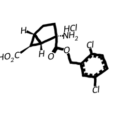 Cl.N[C@@]1(C(=O)OCc2cc(Cl)ccc2Cl)CC[C@H]2[C@H](C(=O)O)[C@H]21